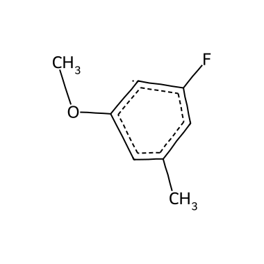 COc1[c]c(F)cc(C)c1